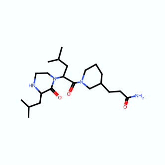 CC(C)CC1NCCN(C(CC(C)C)C(=O)N2CCCC(CCC(N)=O)C2)C1=O